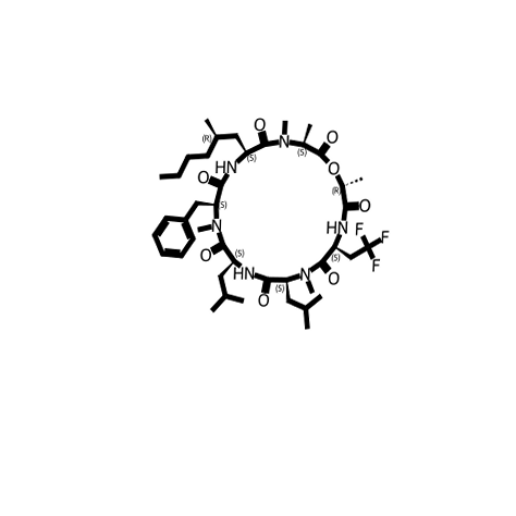 CCCC[C@@H](C)C[C@@H]1NC(=O)[C@H](Cc2ccccc2)N(C)C(=O)[C@H](CC(C)C)NC(=O)[C@H](CC(C)C)N(C)C(=O)[C@H](CC(F)(F)F)NC(=O)[C@@H](C)OC(=O)[C@H](C)N(C)C1=O